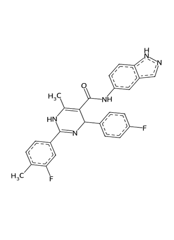 CC1=C(C(=O)Nc2ccc3[nH]ncc3c2)C(c2ccc(F)cc2)N=C(c2ccc(C)c(F)c2)N1